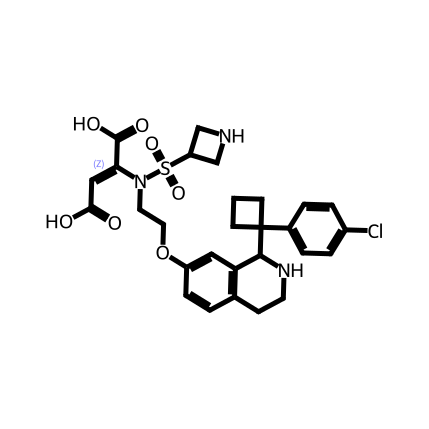 O=C(O)/C=C(/C(=O)O)N(CCOc1ccc2c(c1)C(C1(c3ccc(Cl)cc3)CCC1)NCC2)S(=O)(=O)C1CNC1